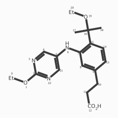 CCOc1ncc(Nc2cc(CCC(=O)O)ccc2C(C)(C)OCC)cn1